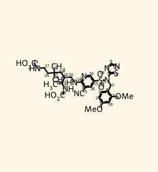 COc1ccc(CN(c2ncns2)S(=O)(=O)c2cnc(NC[C@H](CC(C)(C)CCNC(=O)O)[C@@H](C)NC(=O)O)c(C#N)c2)c(OC)c1